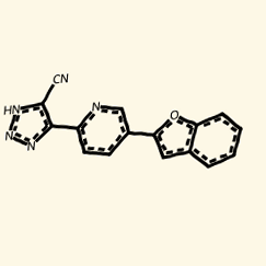 N#Cc1[nH]nnc1-c1ccc(-c2cc3ccccc3o2)cn1